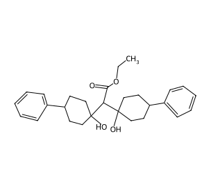 CCOC(=O)C(C1(O)CCC(c2ccccc2)CC1)C1(O)CCC(c2ccccc2)CC1